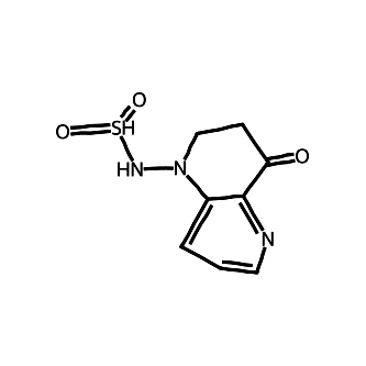 O=C1CCN(N[SH](=O)=O)c2cccnc21